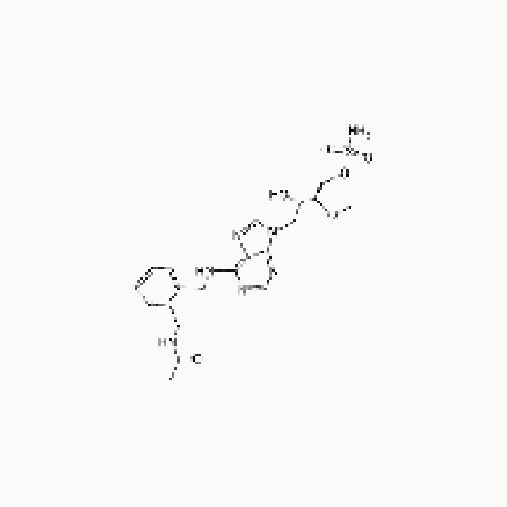 CO[C@H](COS(N)(=O)=O)[C@@H](O)Cn1cnc2c(NCc3ccccc3CNC(C)=O)ncnc21